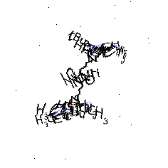 CCC(C)(C)/C=C\C(C)CC(O)CN(CCCCC1NC(=O)C(CCCCN(CC(O)P/C=C\C(C)CC(C)(C)C)CC(O)C(C)(C)/C=C\C(C)C)NC1=O)CC(O)C(C)/C=C\C(C)(C)CC(C)(C)C